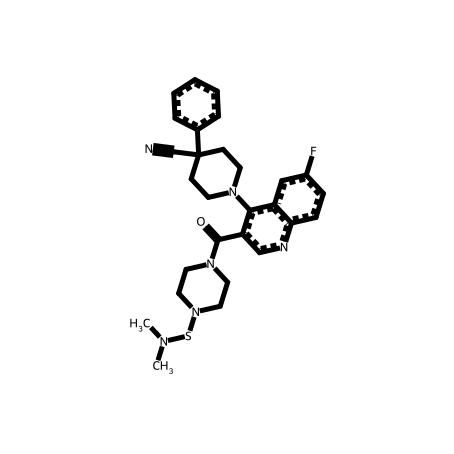 CN(C)SN1CCN(C(=O)c2cnc3ccc(F)cc3c2N2CCC(C#N)(c3ccccc3)CC2)CC1